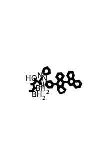 B=C(/C(O)=C(C)\C(B)=C(\B)C)c1nc2ccccc2n1-c1cccc(-c2c3c(c(-c4cc5ccccc5c5ccccc45)c4ccccc24)=CCCC=3)c1